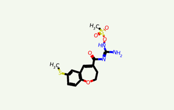 CSc1ccc2c(c1)C=C(C(=O)N=C(N)NOS(C)(=O)=O)CCO2